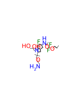 C/C=C/OC(F)(F)OC(C)Nc1cc2cc(C(C)(C)COCCN)n(C[C@@H](O)CO)c2cc1F